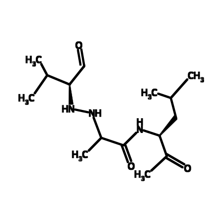 CC(=O)[C@H](CC(C)C)NC(=O)C(C)NN[C@H](C=O)C(C)C